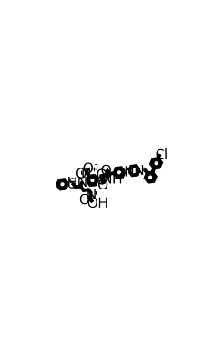 CN(CCC(CSc1ccccc1)Nc1ccc(S(=O)(=O)NC(=O)c2ccc(N3CCN(Cc4ccccc4-c4ccc(Cl)cc4)CC3)cc2)cc1[N+](=O)[O-])C(=O)O